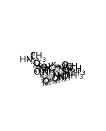 CC(=N)c1ccc(NC(=O)[C@H](Cc2cccc(-c3ccc(N4CCNCC4)nc3)c2)NC(=O)C2CCC(CNC(=O)OC(C)(C)C)CC2)cc1